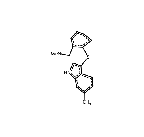 CNCc1ccccc1Sc1c[nH]c2cc(C)ccc12